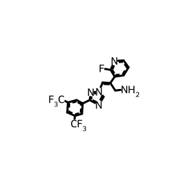 NC/C(=C\n1cnc(-c2cc(C(F)(F)F)cc(C(F)(F)F)c2)n1)c1cccnc1F